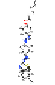 CCCCCCOc1ccc(N=Nc2ccc(N=Nc3nc4ccc(C)cc4s3)cc2)cc1